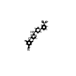 Cc1cc(C#N)cc(C)c1Oc1ccnc(NC2CCN(c3cccc([N+](=O)[O-])c3)CC2)n1